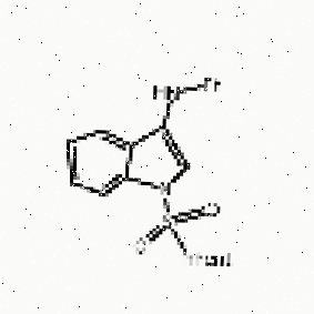 CCCCCS(=O)(=O)n1cc(NCC)c2ccccc21